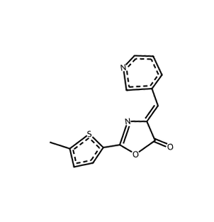 Cc1ccc(C2=NC(=Cc3cccnc3)C(=O)O2)s1